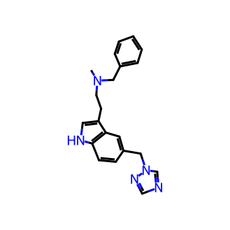 CN(CCc1c[nH]c2ccc(Cn3cncn3)cc12)Cc1ccccc1